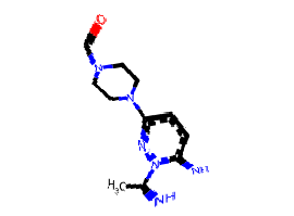 CC(=N)n1nc(N2CCN(C=O)CC2)ccc1=N